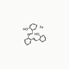 Oc1ccccc1C=Nc1ccccc1N=Cc1ccccc1O.[Fe]